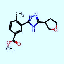 COC(=O)c1ccc(C)c(-c2nnc(C3CCOC3)[nH]2)c1